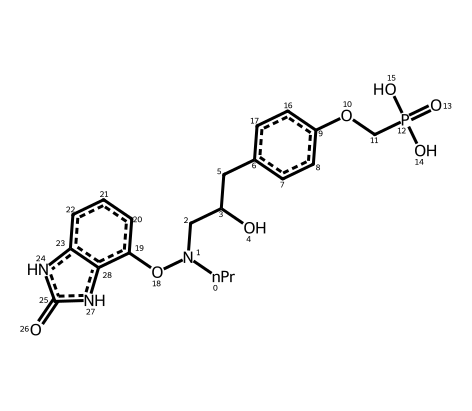 CCCN(CC(O)Cc1ccc(OCP(=O)(O)O)cc1)Oc1cccc2[nH]c(=O)[nH]c12